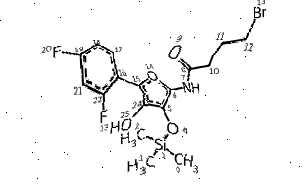 C[Si](C)(C)Oc1c(NC(=O)CCCBr)oc(-c2ccc(F)cc2F)c1O